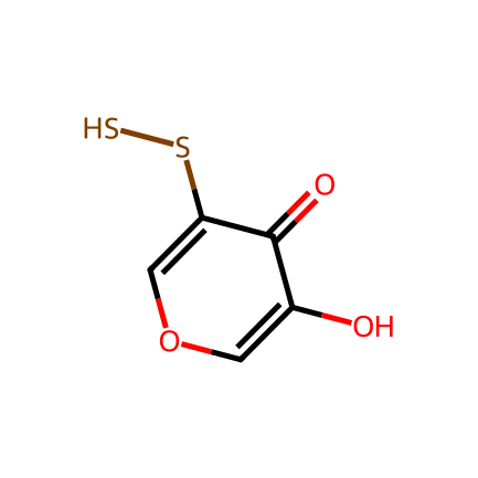 O=c1c(O)cocc1SS